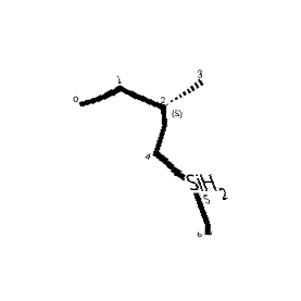 CC[C@H](C)C[SiH2]C